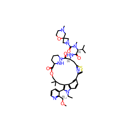 CCn1c(-c2cccnc2[C@H](C)OC)c2c3cc(ccc31)-c1csc(n1)C[C@H](NC(=O)[C@H](C(C)C)N(C)C(=O)N1CC3(CN(C)CCO3)C1)C(=O)N1CCCC(C=O)(COCC(C)(C)C2)N1